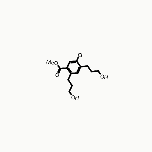 COC(=O)c1cc(Cl)c(CCCO)cc1CCCO